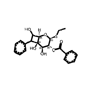 CCS[C@@H]1O[C@@H]2C(O)C(c3ccccc3)[C@@]2(O)[C@H](O)[C@H]1OC(=O)c1ccccc1